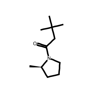 C[C@@H]1CCCN1C(=O)CC(C)(C)C